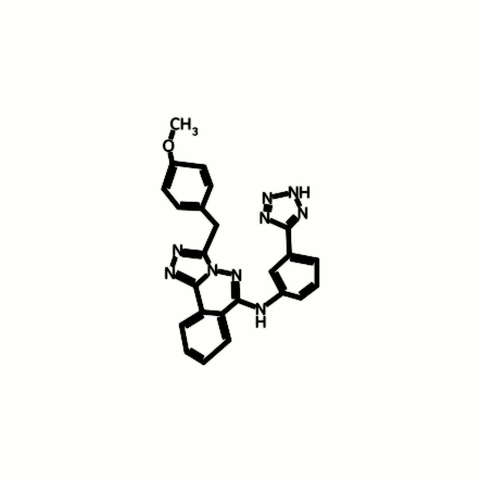 COc1ccc(Cc2nnc3c4ccccc4c(Nc4cccc(-c5nn[nH]n5)c4)nn23)cc1